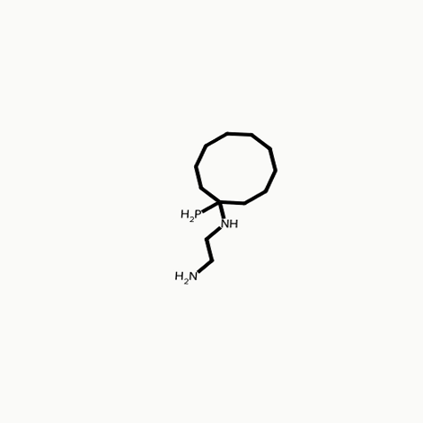 NCCNC1(P)CCCCCCCCC1